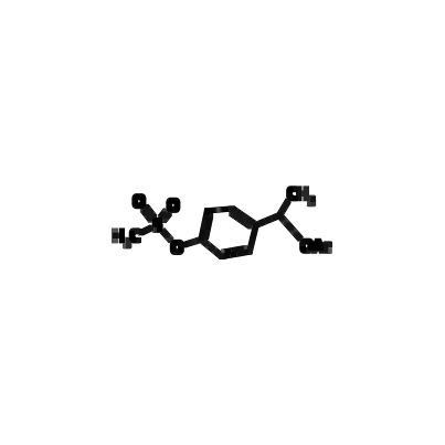 CC(=O)OC(C)c1ccc(OS(C)(=O)=O)cc1